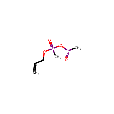 C=CCOP(C)(=O)O[PH](C)=O